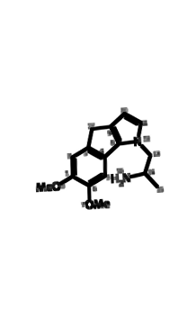 COc1cc2c(cc1OC)-c1c(ccn1CC(C)N)C2